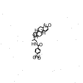 CC(CNC(=O)c1ccc([N+](=O)[O-])cc1)[C@H]1CC[C@H]2[C@@H]3CCC4N(C)C(=O)C=C[C@]4(C)[C@H]3CC[C@]12C